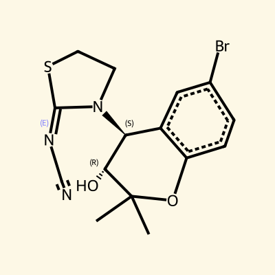 CC1(C)Oc2ccc(Br)cc2[C@H](N2CCS/C2=N/C#N)[C@H]1O